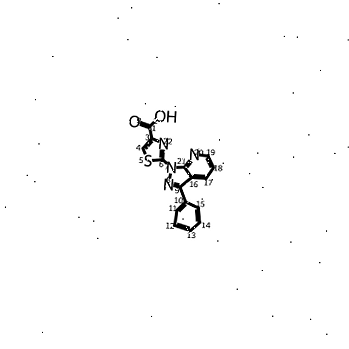 O=C(O)c1csc(-n2nc(-c3ccccc3)c3cccnc32)n1